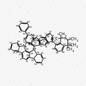 CC1CC(C)(C)c2c(-c3cccc(-c4cccc(N5c6c(ccc7c8ccccc8n(-c8nc(-c9ccccc9)nc(-c9ccccc9)n8)c67)C6C=CC=CC65)c4)c3)cccc2C1(C)C